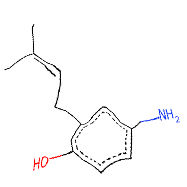 CC(C)=CCc1cc(N)ccc1O